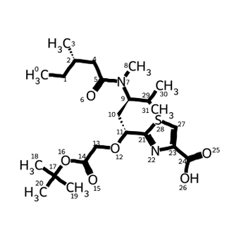 CC[C@H](C)CC(=O)N(C)[C@H](C[C@@H](OCC(=O)OC(C)(C)C)c1nc(C(=O)O)cs1)C(C)C